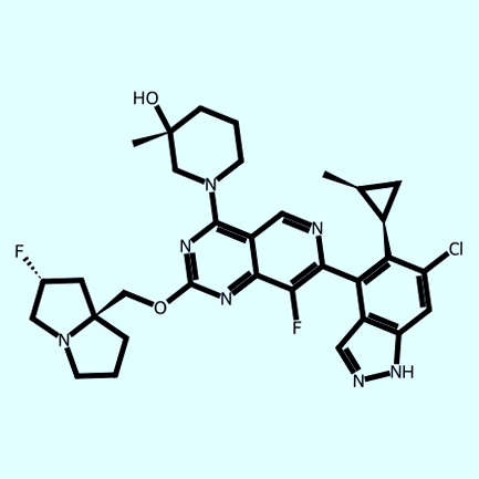 C[C@H]1C[C@H]1c1c(Cl)cc2[nH]ncc2c1-c1ncc2c(N3CCC[C@@](C)(O)C3)nc(OC[C@@]34CCCN3C[C@H](F)C4)nc2c1F